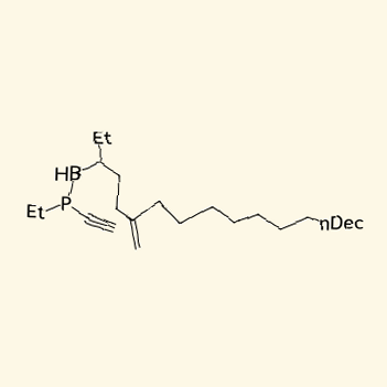 C#CP(BC(CC)CCC(=C)CCCCCCCCCCCCCCCCC)CC